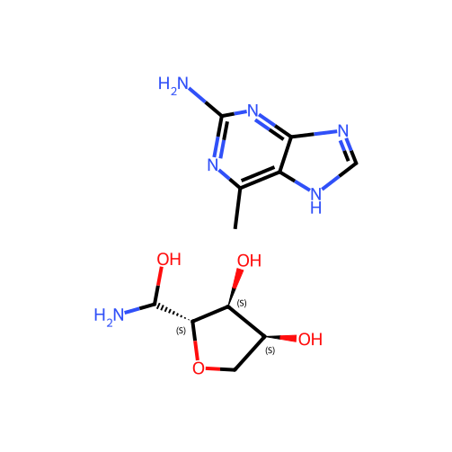 Cc1nc(N)nc2nc[nH]c12.NC(O)[C@H]1OC[C@H](O)[C@@H]1O